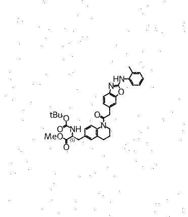 COC(=O)[C@H](Cc1ccc2c(c1)CCCN2C(=O)Cc1ccc2nc(Nc3ccccc3C)oc2c1)NC(=O)OC(C)(C)C